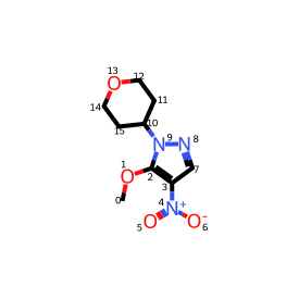 COc1c([N+](=O)[O-])cnn1C1CCOCC1